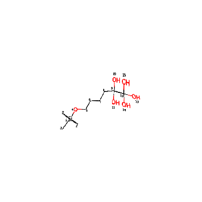 C[Si](C)(C)OCCCCC(O)(O)C(O)(O)O